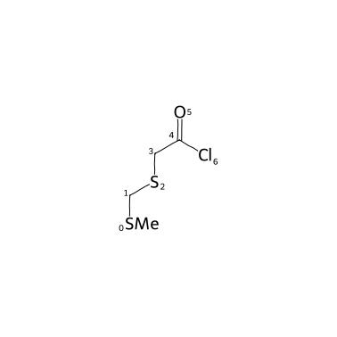 CSCSCC(=O)Cl